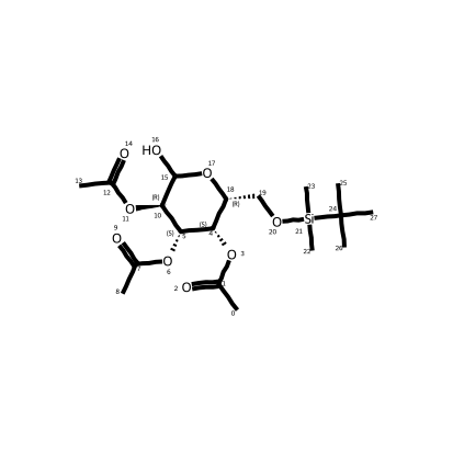 CC(=O)O[C@@H]1[C@H](OC(C)=O)[C@@H](OC(C)=O)C(O)O[C@@H]1CO[Si](C)(C)C(C)(C)C